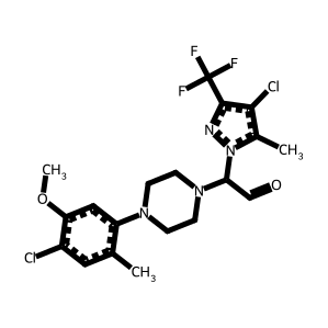 COc1cc(N2CCN(C(C=O)n3nc(C(F)(F)F)c(Cl)c3C)CC2)c(C)cc1Cl